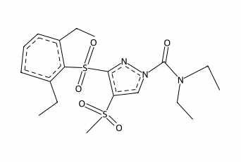 CCc1cccc(CC)c1S(=O)(=O)c1nn(C(=O)N(CC)CC)cc1S(C)(=O)=O